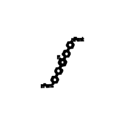 CCCCCC1CCC(C2CCC(c3ccc(C4CCC(C5CCC(CCCCC)CC5)CC4)c(F)c3)CC2)CC1